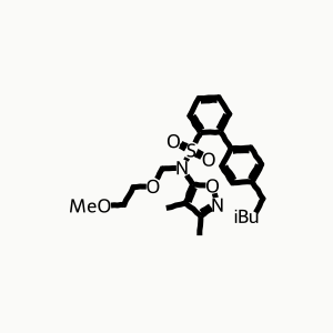 CCC(C)Cc1ccc(-c2ccccc2S(=O)(=O)N(COCCOC)c2onc(C)c2C)cc1